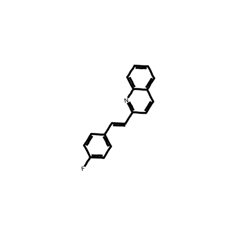 Fc1ccc(C=Cc2ccc3ccccc3n2)cc1